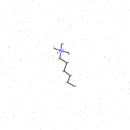 CC[CH]CCC[N+](C)(C)C